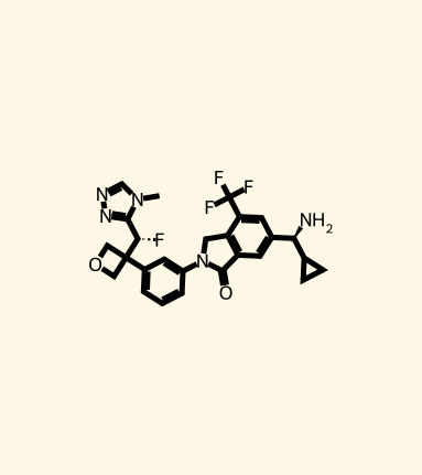 Cn1cnnc1[C@H](F)C1(c2cccc(N3Cc4c(cc([C@@H](N)C5CC5)cc4C(F)(F)F)C3=O)c2)COC1